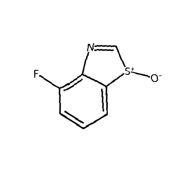 [O-][s+]1cnc2c(F)cccc21